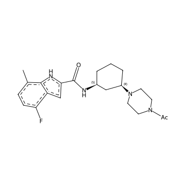 CC(=O)N1CCN([C@@H]2CCC[C@H](NC(=O)c3cc4c(F)ccc(C)c4[nH]3)C2)CC1